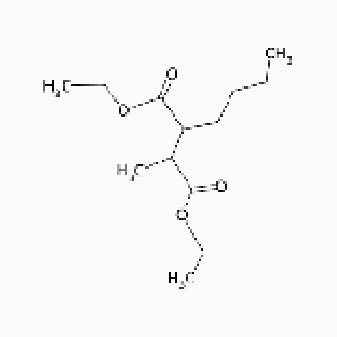 CCCCC(C(=O)OCC)C(C)C(=O)OCC